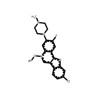 CC(C)On1cc2c3ccc(Cl)cc3nc-2c2cc(F)c(N3CCN(C)CC3)cc21